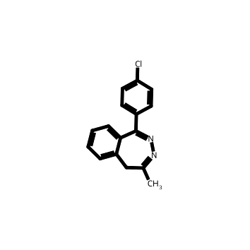 CC1=NN=C(c2ccc(Cl)cc2)c2ccccc2C1